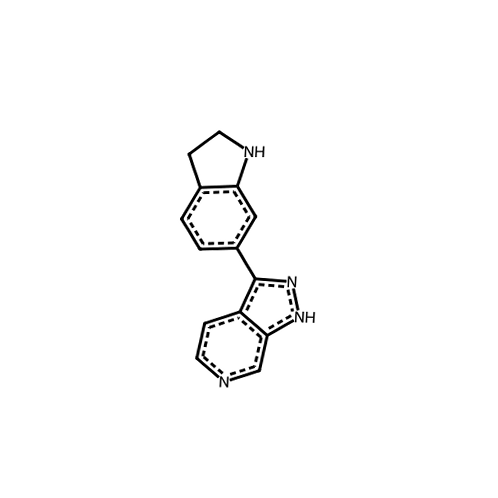 c1cc2c(-c3ccc4c(c3)NCC4)n[nH]c2cn1